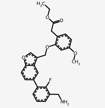 CCOC(=O)Cc1ccc(OC)cc1OCc1coc2ccc(-c3cccc(CN)c3F)cc12